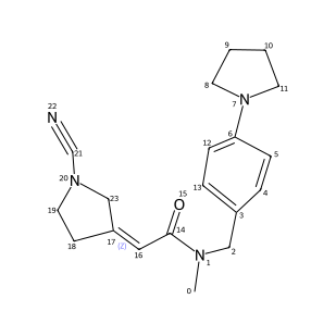 CN(Cc1ccc(N2CCCC2)cc1)C(=O)/C=C1/CCN(C#N)C1